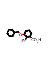 CC(C)c1c(OCc2ccccc2)cccc1C(=O)O